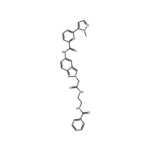 Cn1nccc1-c1cccc(C(=O)Nc2ccc3nn(CC(=O)NCCNC(=O)c4ccccc4)cc3c2)n1